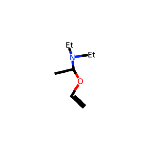 C=COC(C)N(CC)CC